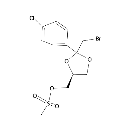 CS(=O)(=O)OC[C@@H]1COC(CBr)(c2ccc(Cl)cc2)O1